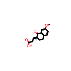 COc1ccc2c(c1)C(=O)/C(=C/CC(=O)O)CC2